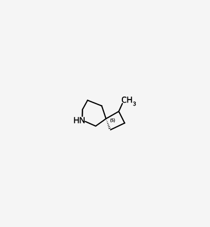 CC1CC[C@]12CCCNC2